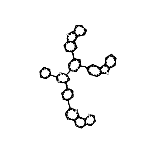 c1ccc(-c2nc(-c3ccc(-c4ccc5ccc6cccnc6c5n4)cc3)cc(-c3cc(-c4ccc5oc6ccccc6c5c4)cc(-c4ccc5oc6ccccc6c5c4)c3)n2)cc1